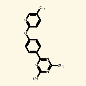 Nc1nc(N)nc(-c2ccc(Oc3ccc(C(F)(F)F)cn3)cc2)n1